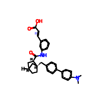 CN(C)c1ccc(-c2ccc(C[C@@]34CC[C@H](C[C@H]3C(=O)Nc3cccc(/C=C/C(=O)O)c3)C4)cc2)cc1